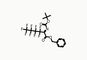 CC(C)(C)OC(=O)N=C(C(=O)OCc1ccccc1)C(F)(F)C(F)(F)C(F)(F)C(F)(F)F